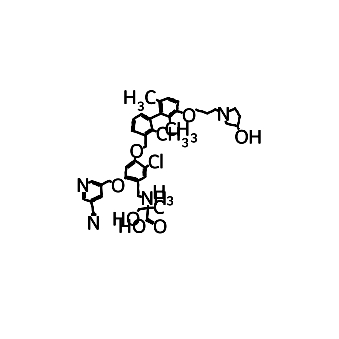 Cc1ccc(OCCCN2CC[C@@H](O)C2)c(C)c1-c1cccc(COc2cc(OCc3cncc(C#N)c3)c(CNC(C)(CO)C(=O)O)cc2Cl)c1C